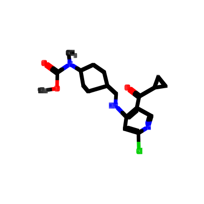 CN(C(=O)OC(C)(C)C)C1CCC(CNc2cc(Cl)ncc2C(=O)C2CC2)CC1